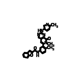 Cc1ccc(Nc2ncc3cc(-c4cc(NC(=O)c5cc6ccccc6o5)ccc4C)n(C)c(=O)c3n2)cn1